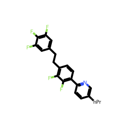 CCCc1ccc(-c2ccc(CCc3cc(F)c(F)c(F)c3)c(F)c2F)nc1